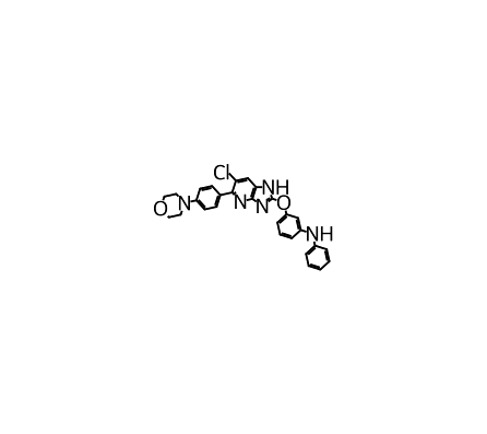 Clc1cc2[nH]c(Oc3cccc(Nc4ccccc4)c3)nc2nc1-c1ccc(N2CCOCC2)cc1